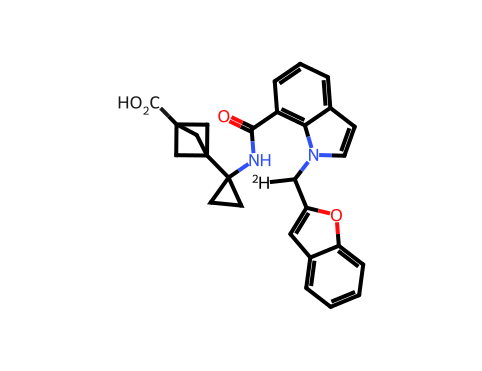 [2H]C(c1cc2ccccc2o1)n1ccc2cccc(C(=O)NC3(C45CC(C(=O)O)(C4)C5)CC3)c21